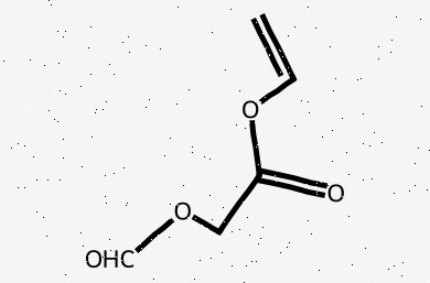 C=COC(=O)COC=O